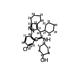 O=C(NC1CCC(O)CC1)C(c1c2c(nn1-c1ccc(Cl)cc1)CCCC2)C1CCCCC1